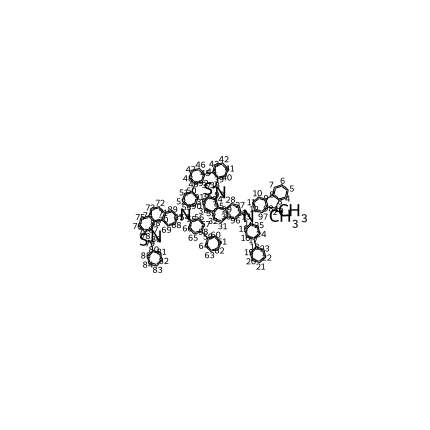 CC1(C)c2ccccc2-c2ccc(N(c3ccc(-c4ccccc4)cc3)c3ccc4c(ccc5ccc6sc(-c7ccccc7-c7cccc(-c8ccc(N(c9ccc(-c%10ccccc%10)cc9)c9ccc%10c(ccc%11ccc%12sc(-c%13ccccc%13)nc%12c%11%10)c9)cc8)c7)nc6c54)c3)cc21